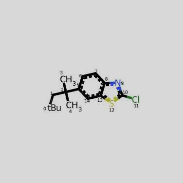 CC(C)(C)CC(C)(C)c1ccc2nc(Cl)sc2c1